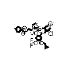 O=C(O[C@@H](Cc1c(Cl)c[n+]([O-])cc1Cl)c1ccc(OC(F)F)c(OCC2CC2)c1)[C@@H]1SCCN1C(=O)CCS(=O)(=O)c1ccccc1